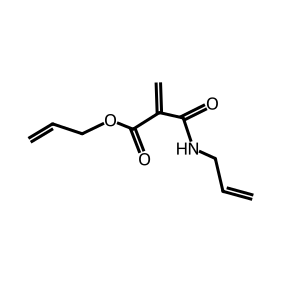 C=CCNC(=O)C(=C)C(=O)OCC=C